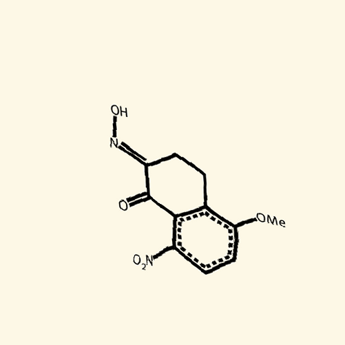 COc1ccc([N+](=O)[O-])c2c1CCC(=NO)C2=O